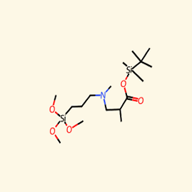 CO[Si](CCCN(C)CC(C)C(=O)O[Si](C)(C)C(C)(C)C)(OC)OC